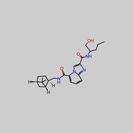 CCCC(CO)NC(=O)c1cn2c(C(=O)NC[C@@H]3CC[C@H]4C[C@@H]3C4(C)C)cccc2n1